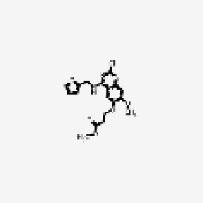 COC(=O)CCOc1cc2c(NCc3ccco3)nc(Cl)nc2cc1OC